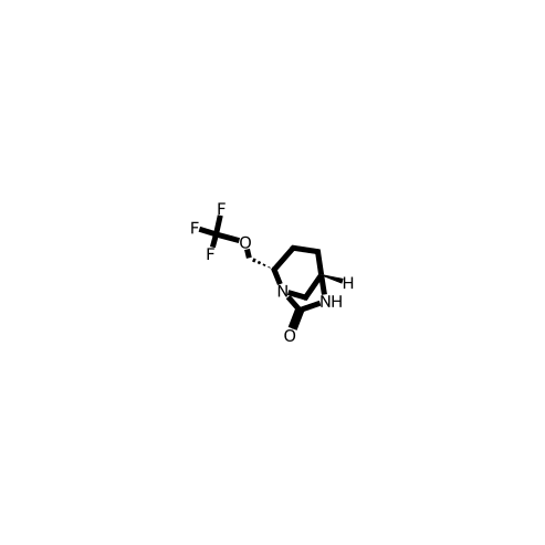 O=C1N[C@H]2CC[C@@H](COC(F)(F)F)N1C2